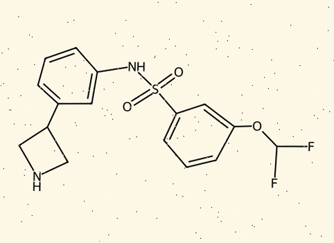 O=S(=O)(Nc1cccc(C2CNC2)c1)c1cccc(OC(F)F)c1